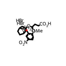 Br.Br.COc1ccc([N+](=O)[O-])cc1C[N+]1(C)C2CCC1CC(OC(=O)CCC(=O)O)C2